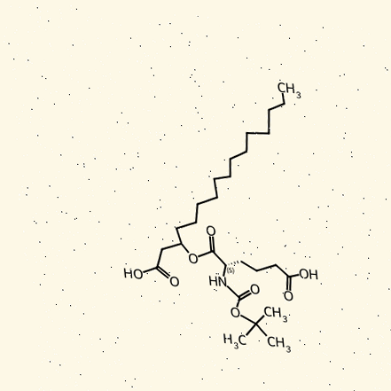 CCCCCCCCCCCCCC(CC(=O)O)OC(=O)[C@H](CCCC(=O)O)NC(=O)OC(C)(C)C